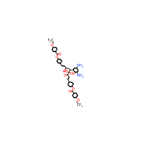 Nc1cc(N)cc(C(CC(=O)/C=C/c2ccc(OC(=O)c3ccc(OCC(F)(F)F)cc3)cc2)C(O)(O)C(=O)/C=C/c2ccc(OC(=O)c3ccc(OCC(F)(F)F)cc3)cc2)c1